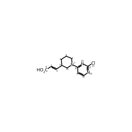 O=C(O)/C=C/C1CCCN(c2ccnc(Cl)n2)C1